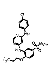 CNS(=O)(=O)c1ccc(OCCC(F)(F)F)c(Nc2cc(Nc3ccc(Cl)cc3)ncn2)c1